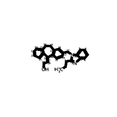 CCCc1nc2ccccc2n1Cc1ccc2c(c1)CCc1ccccc1/C2=C\CO